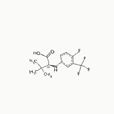 CC(C)(C)[C@H](Nc1ccc(F)c(C(F)(F)F)c1)C(=O)O